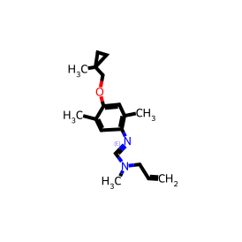 C=CCN(C)/C=N/c1cc(C)c(OCC2(C)CC2)cc1C